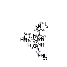 CCN/N=C\C=C(/C)Nc1cc(C2CCCNC2)nc2c(-c3cnn(C)c3)cnn12